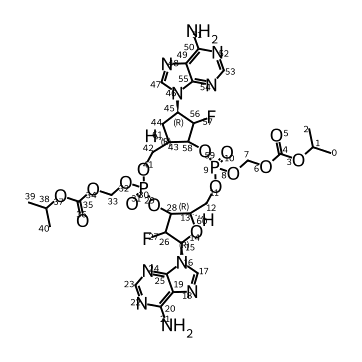 CC(C)OC(=O)OCOP1(=O)OC[C@H]2O[C@@H](n3cnc4c(N)ncnc43)C(F)C2OP(=O)(OCOC(=O)OC(C)C)OC[C@H]2C[C@@H](n3cnc4c(N)ncnc43)C(F)C2O1